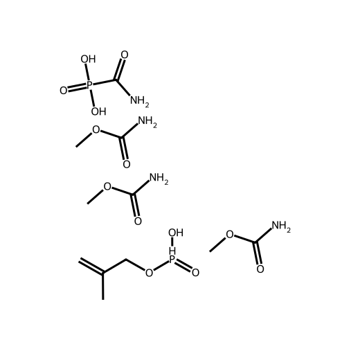 C=C(C)CO[PH](=O)O.COC(N)=O.COC(N)=O.COC(N)=O.NC(=O)P(=O)(O)O